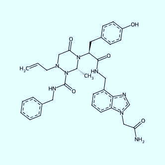 C=CCN1CC(=O)N([C@@H](Cc2ccc(O)cc2)C(=O)NCc2cccc3c2ncn3CC(N)=O)[C@H](C)N1C(=O)NCc1ccccc1